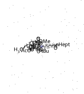 CC#CCOc1ccc(C[C@H](NC(=O)[C@@H](/C=C/CCCCCCC(=O)CCCCCCC)C(O)(CC(=O)O[C@@H](C)OC(C)=O)C(=O)OC(C)(C)C)C(=O)OC)cc1